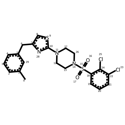 Cc1cccc(Cc2csc(N3CCN(S(=O)(=O)c4cccc(Cl)c4Cl)CC3)n2)c1